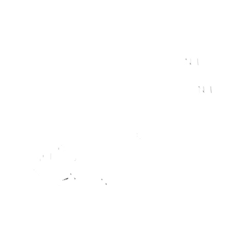 CN/C=C(\C=N)c1ccc(Cc2cc3c(=O)n([C@H]4CCC[C@@H]4O)cnc3cc2OC)cc1